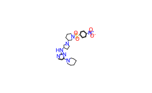 O=[N+]([O-])c1ccc(S(=O)(=O)N2CCCC(N3CCC(Nc4nccc(N5CCCCCC5)n4)C3)C2)cc1